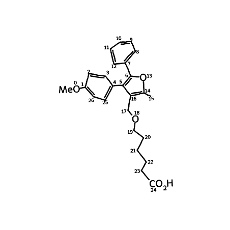 COc1ccc(-c2c(-c3ccccc3)oc(C)c2COCCCCCC(=O)O)cc1